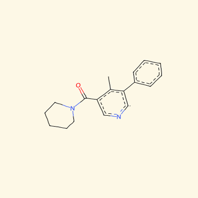 Cc1c(-c2ccccc2)[c]ncc1C(=O)N1CCCCC1